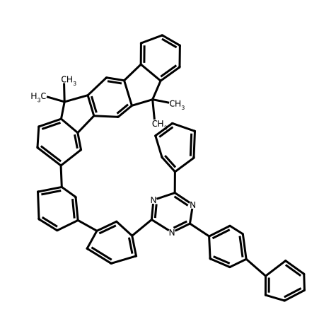 CC1(C)c2ccccc2-c2cc3c(cc21)-c1cc(-c2cccc(-c4cccc(-c5nc(-c6ccccc6)nc(-c6ccc(-c7ccccc7)cc6)n5)c4)c2)ccc1C3(C)C